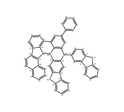 c1ccc(-c2cc3c4c(c2)N(c2ccc5sc6ccccc6c5c2)c2cc5c(cc2B4n2c4c-3cccc4c3ccc4ccccc4c32)sc2ccccc25)cc1